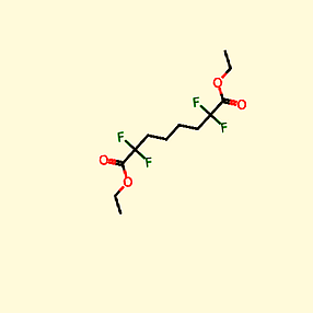 CCOC(=O)C(F)(F)CCCCC(F)(F)C(=O)OCC